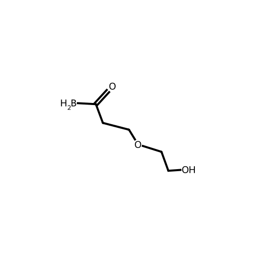 BC(=O)CCOCCO